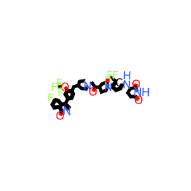 Cn1cc(-c2ccc(CC3CCN(CC(=O)C4CCN(c5ccc(NC6CCC(=O)NC6=O)cc5C(F)(F)F)CC4)CC3)c(OC(F)(F)F)c2)c2cc(F)ccc2c1=O